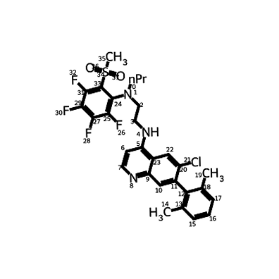 CCCN(CCNc1ccnc2cc(-c3c(C)cccc3C)c(Cl)cc12)c1c(F)c(F)c(F)c(F)c1S(C)(=O)=O